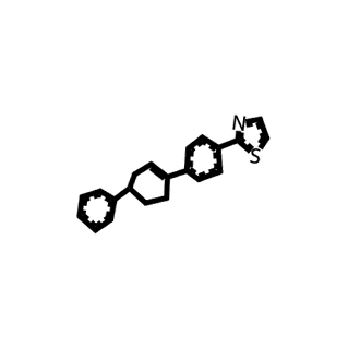 C1=C(c2ccc(-c3nccs3)cc2)CCC(c2ccccc2)C1